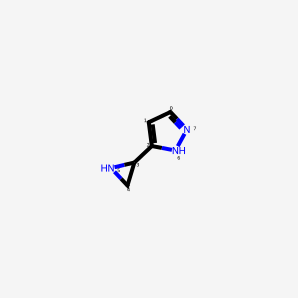 c1cc(C2CN2)[nH]n1